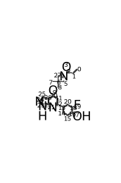 C=CC(=O)N1CC(C)(COc2cc(-c3ccc(O)c(F)c3)nc3[nH]ncc23)C1